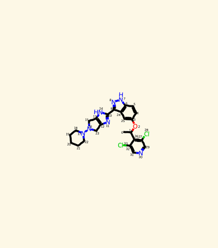 CC(Oc1ccc2[nH]nc(-c3nc4c([nH]3)CN(N3[CH]CCCC3)C4)c2c1)c1c(Cl)cncc1Cl